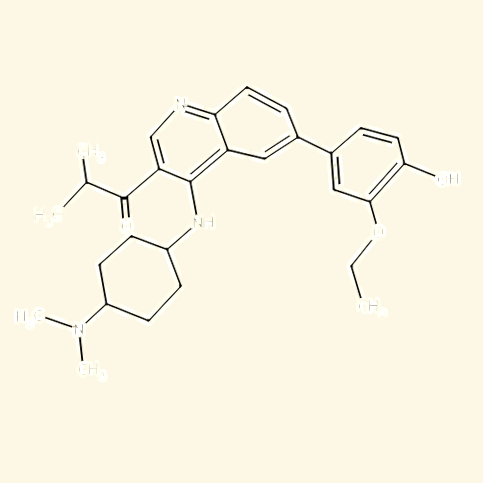 CCOc1cc(-c2ccc3ncc(C(=O)C(C)C)c(NC4CCC(N(C)C)CC4)c3c2)ccc1O